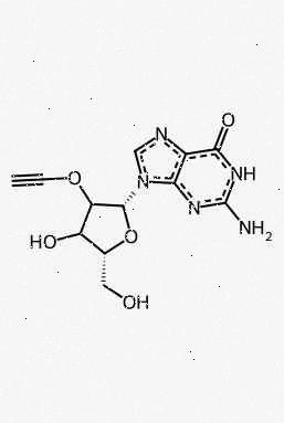 C#COC1C(O)[C@@H](CO)O[C@H]1n1cnc2c(=O)[nH]c(N)nc21